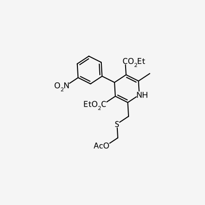 CCOC(=O)C1=C(C)NC(CSCOC(C)=O)=C(C(=O)OCC)C1c1cccc([N+](=O)[O-])c1